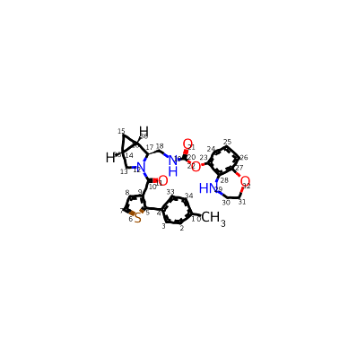 Cc1ccc(-c2sccc2C(=O)N2C[C@@H]3C[C@@H]3[C@H]2CNC(=O)Oc2cccc3c2NCCO3)cc1